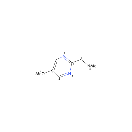 CNCc1ncc(OC)cn1